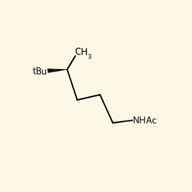 CC(=O)NCCC[C@H](C)C(C)(C)C